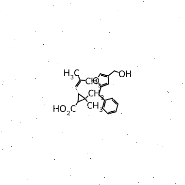 CC(C)=C[C@H]1[C@H](C(=O)O)C1(C)C.OCc1coc(Cc2ccccc2)c1